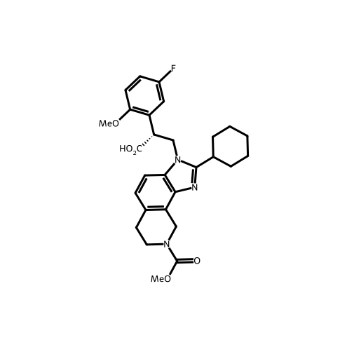 COC(=O)N1CCc2ccc3c(nc(C4CCCCC4)n3C[C@H](C(=O)O)c3cc(F)ccc3OC)c2C1